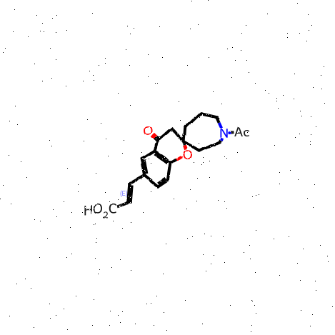 CC(=O)N1CCCC2(CC1)CC(=O)c1cc(/C=C/C(=O)O)ccc1O2